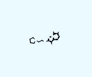 Cc1ccc2c(N)c(OCC[N+]3(C)CCCC3)nn2c1C